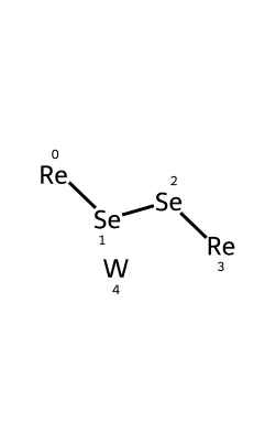 [Re][Se][Se][Re].[W]